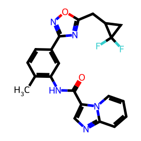 Cc1ccc(-c2noc(CC3CC3(F)F)n2)cc1NC(=O)c1cnc2ccccn12